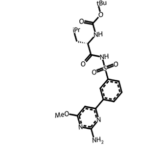 COc1cc(-c2cccc(S(=O)(=O)NC(=O)[C@H](CC(C)C)NC(=O)OC(C)(C)C)c2)nc(N)n1